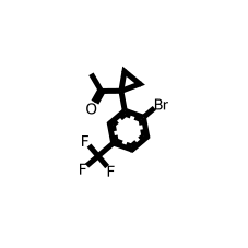 CC(=O)C1(c2cc(C(F)(F)F)ccc2Br)CC1